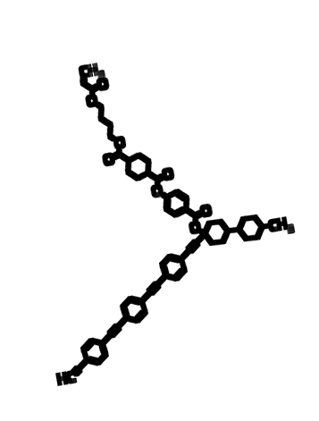 C#Cc1ccc(C#Cc2ccc(C#Cc3ccc(C#CC4(OC(=O)c5ccc(OC(=O)C6CCC(C(=O)OCCCCOC(=O)C=C)CC6)cc5)CCC(C5CCC(C)CC5)CC4)cc3)cc2)cc1